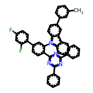 Cc1cccc(-c2ccc3c(c2)c2ccccc2n3-c2cc(-c3ccc(F)cc3F)ccc2-c2nc(-c3ccccc3)nc(-c3ccccc3)n2)c1